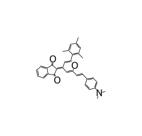 Cc1cc(C)c(C2=CC(=C3C(=O)c4ccccc4C3=O)C=C(/C=C/c3ccc(N(C)C)cc3)O2)c(C)c1